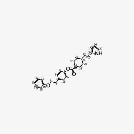 O=C(Oc1ccc(CCOc2cccnc2)cc1)N1CCC(CSc2ncc[nH]2)CC1